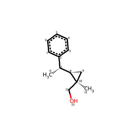 C[C@H](c1ccccc1)[C@@H]1C[C@@]1(C)CO